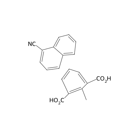 Cc1c(C(=O)O)cccc1C(=O)O.N#Cc1cccc2ccccc12